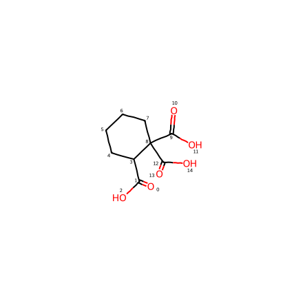 O=C(O)C1CCCCC1(C(=O)O)C(=O)O